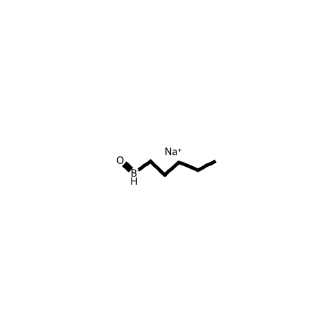 CCCCC[BH-]=O.[Na+]